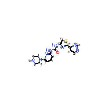 CN1CCN(c2cccc(NC(=O)Nc3csc(-c4ccncn4)n3)n2)CC1